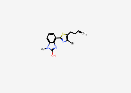 C=CCCc1sc(-c2cccc3c2nc(O)n3C(C)C)nc1C(C)C